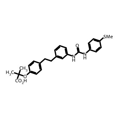 CSc1ccc(NC(=O)Nc2cccc(CCc3ccc(OC(C)(C)C(=O)O)cc3)c2)cc1